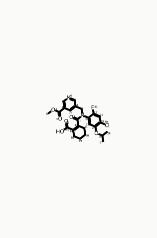 COC(=O)c1cncc(CN(C(=O)C2=C(C(=O)O)CCCC2)c2cc(OC(C)C)c(Cl)cc2F)c1